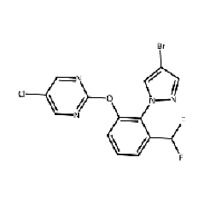 FC(F)c1cccc(Oc2ncc(Cl)cn2)c1-n1cc(Br)cn1